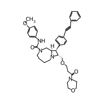 COc1ccc(NC(=O)N2CCCCN3[C@@H](COCCC(=O)N4CCOCC4)[C@H](c4ccc(C#Cc5ccccc5)cc4)[C@@H]3C2)cc1